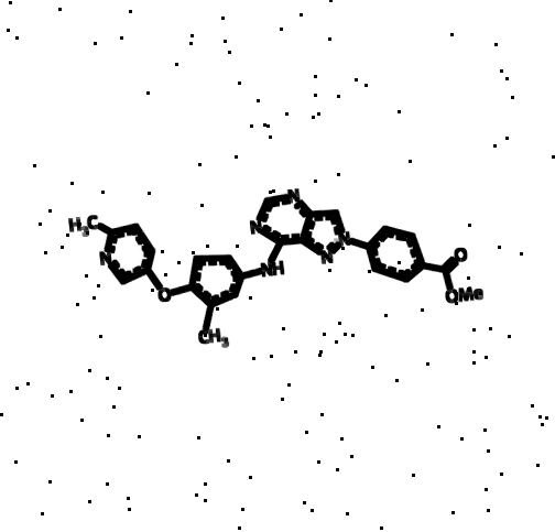 COC(=O)c1ccc(-n2cc3ncnc(Nc4ccc(Oc5ccc(C)nc5)c(C)c4)c3n2)cc1